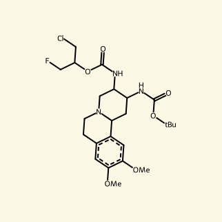 COc1cc2c(cc1OC)C1CC(NC(=O)OC(C)(C)C)C(NC(=O)OC(CF)CCl)CN1CC2